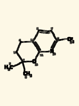 CC1(C)CCc2ccc(C(F)(F)F)nc2O1